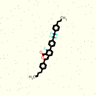 C=CCCc1ccc(-c2cc3ccc(-c4ccc(C(F)(F)C(F)(F)c5ccc(CCC)cc5)cc4)c(F)c3c(=O)o2)cc1